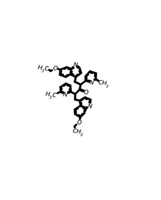 CCOc1ccc2c(CC(C(=O)C(Cc3ccnc4cc(OCC)ccc34)c3cccc(C)n3)c3cccc(C)n3)ccnc2c1